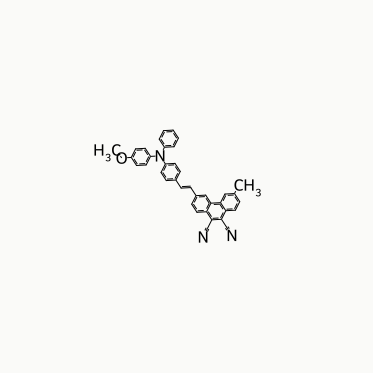 COc1ccc(N(c2ccccc2)c2ccc(/C=C/c3ccc4c(C#N)c(C#N)c5ccc(C)cc5c4c3)cc2)cc1